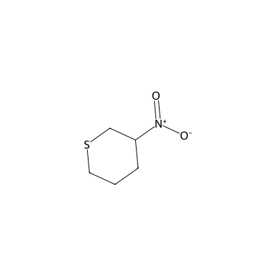 O=[N+]([O-])C1CCCSC1